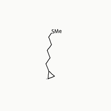 CSCCCCCC1[CH]C1